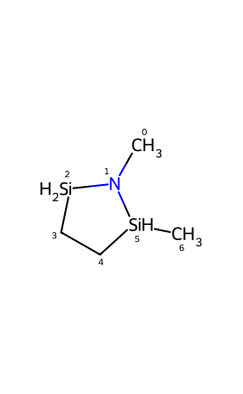 CN1[SiH2]CC[SiH]1C